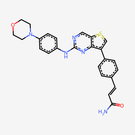 NC(=O)C=Cc1ccc(-c2csc3cnc(Nc4ccc(N5CCOCC5)cc4)nc23)cc1